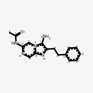 CC(=O)Nc1cn2c(N)c(CCc3ccccc3)nc2cn1